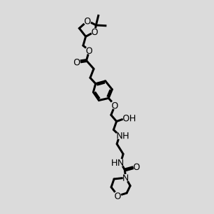 CC1(C)OCC(COC(=O)CCc2ccc(OCC(O)CNCCNC(=O)N3CCOCC3)cc2)O1